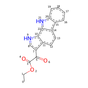 CCOC(=O)C(=O)c1c[nH]c2c1ccc1c3ccccc3[nH]c12